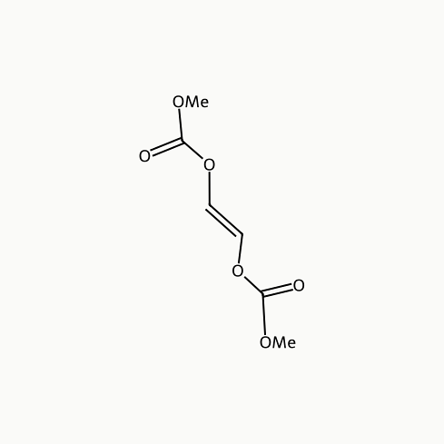 COC(=O)OC=COC(=O)OC